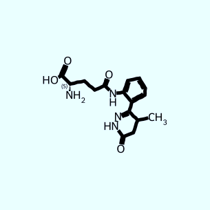 CC1CC(=O)NN=C1c1ccccc1NC(=O)CC[C@H](N)C(=O)O